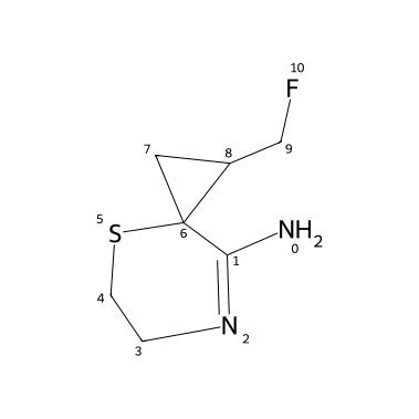 NC1=NCCSC12CC2CF